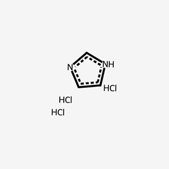 Cl.Cl.Cl.c1c[nH]cn1